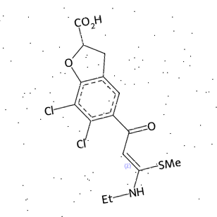 CCN/C(=C/C(=O)c1cc2c(c(Cl)c1Cl)OC(C(=O)O)C2)SC